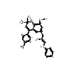 CCOc1cc(C/C(C#N)=C/Nc2ccccc2)cc2c1OC(C)(C)C=C2c1ccc(C#N)cc1